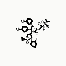 CCC(CN(c1ccccc1F)S(=O)(=O)C1CC1)N1C(=O)[C@H](CC(=O)NS(=O)(=O)C(C)C)O[C@H](c2cccc(Cl)c2)[C@H]1c1ccc(Cl)cc1